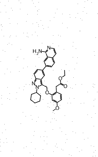 CCOC(=O)Cc1ccc(OC)cc1OCc1c2cc(-c3ccc4ccnc(N)c4c3)ccc2nn1C1CCCCC1